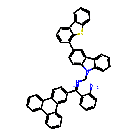 Nc1ccccc1/C(=N\Cn1c2ccccc2c2cc(-c3cccc4c3sc3ccccc34)ccc21)c1ccc2c3ccccc3c3ccccc3c2c1